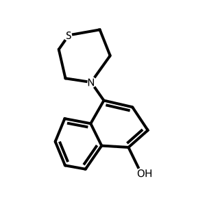 Oc1ccc(N2CCSCC2)c2ccccc12